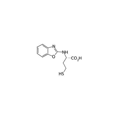 O=C(O)[C@H](CCS)Nc1nc2ccccc2o1